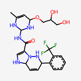 CC1=CC(OCC(O)CO)NC(NC(=O)C2=CNC3C=CC(c4ccccc4C(F)(F)F)NN23)N1